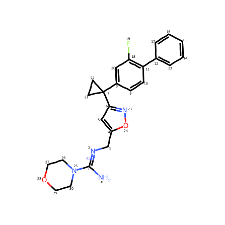 N/C(=N\Cc1cc(C2(c3ccc(-c4ccccc4)c(F)c3)CC2)no1)N1CCOCC1